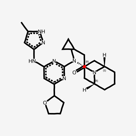 Cc1cc(Nc2cc(C3CCCO3)nc(N(C)[C@H]3C[C@H]4CCC[C@@H](C3)N4C(=O)CC3CC3)n2)n[nH]1